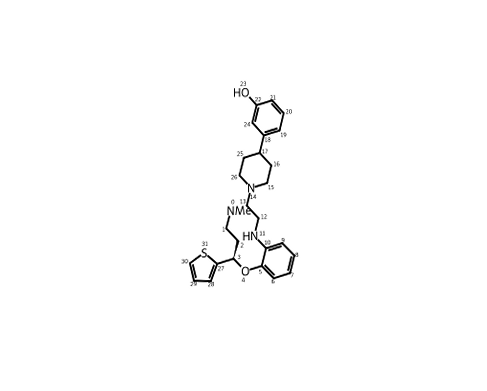 CNCC[C@@H](Oc1ccccc1NCCN1CCC(c2cccc(O)c2)CC1)c1cccs1